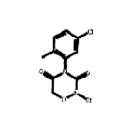 CCN1OCC(=O)N(c2cc(Cl)ccc2C)C1=S